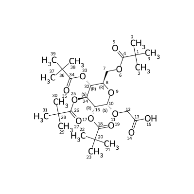 CC(C)(C)C(=O)OC[C@H]1O[C@H](OCC(=O)O)[C@H](OC(=O)C(C)(C)C)[C@@H](OC(=O)C(C)(C)C)[C@@H]1OC(=O)C(C)(C)C